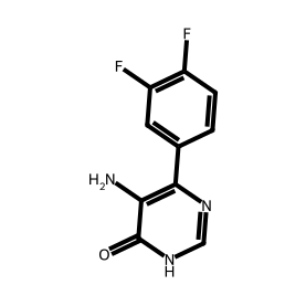 Nc1c(-c2ccc(F)c(F)c2)nc[nH]c1=O